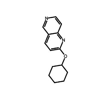 c1cc2nc(OC3CCCCC3)ccc2cn1